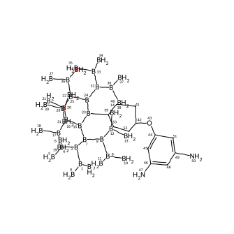 BB(B)B(B(B)B)B(B(B(B)B)B(B)B)B(B(B(B)B)B(B)B)B(B(B(B(B)B)B(B)B)B(B(B)B)B(B)B)C1CCC(Oc2cc(N)cc(N)c2)CC1